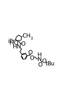 CC(C)[C@@H]1CC[C@@H](C)C[C@@]1(O)C(=O)NCCc1cccc(C(=O)OCCNC(=O)OC(C)(C)C)c1